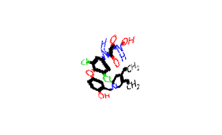 C=CC1=C(C=C)CN(Cc2cc(Oc3c(Cl)cc(NC(=O)C(=O)NO)cc3Cl)ccc2O)CC1